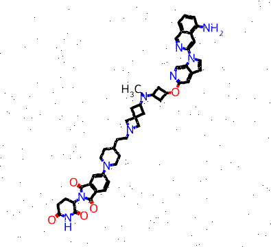 CN(C1CC(Oc2cc3ccn(-c4cc5c(N)cccc5cn4)c3cn2)C1)C1CC2(C1)CN(CCC1CCN(c3ccc4c(c3)C(=O)N(C3CCC(=O)NC3=O)C4=O)CC1)C2